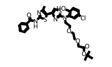 Cc1nc(NC(=O)c2ccccc2)sc1-c1csc(N(CCOCCOCC(=O)OC(C)(C)C)c2cc(Cl)ccc2O)n1